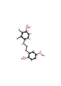 COc1ccc(O)c(CCCc2ccc(O)c(C)c2C)c1